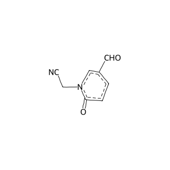 N#CCn1cc(C=O)ccc1=O